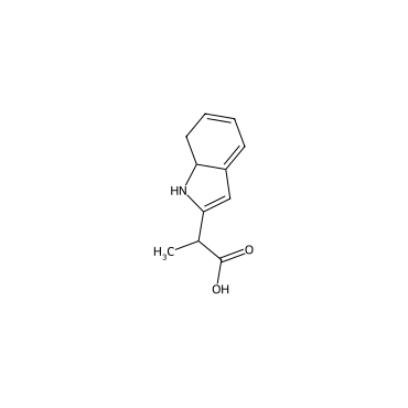 CC(C(=O)O)C1=CC2=CC=CCC2N1